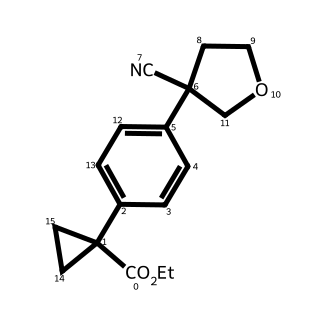 CCOC(=O)C1(c2ccc(C3(C#N)CCOC3)cc2)CC1